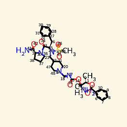 C[C@H](OC(=O)c1ccccc1)[C@@](C)(N)OC(=O)N=CN1CCC(CN([C@H](Cc2ccccc2)C(=O)N2CCC[C@H]2C(N)=O)S(C)(=O)=O)CC1